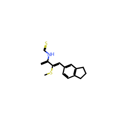 C=C(NC=S)/C(=C/c1ccc2c(c1)CCC2)SC